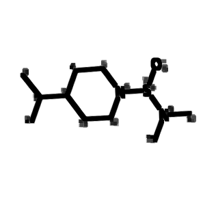 CC(C)C1CCN([S+]([O-])N(C)C)CC1